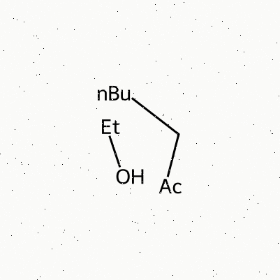 CCCCCC(C)=O.CCO